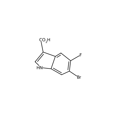 O=C(O)c1c[nH]c2cc(Br)c(F)cc12